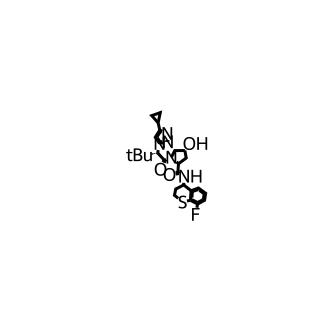 CC(C)(C)[C@@H](C(=O)N1CC(O)CC1C(=O)NC1CCSc2c(F)cccc21)n1cc(C2CC2)nn1